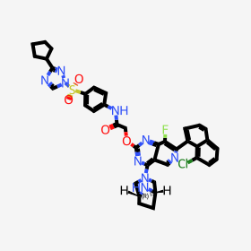 O=C(COc1nc(N2C[C@H]3CC[C@@H](C2)N3)c2cnc(-c3cccc4cccc(Cl)c34)c(F)c2n1)Nc1ccc(S(=O)(=O)n2cnc(C3CCCC3)n2)cc1